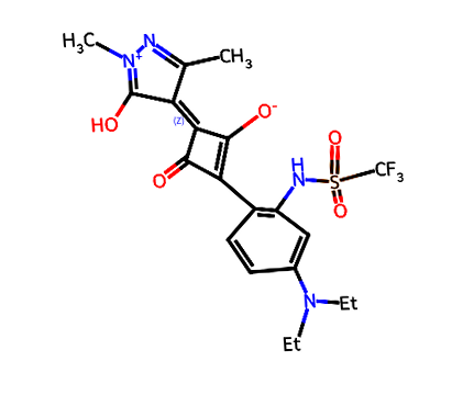 CCN(CC)c1ccc(C2=C([O-])/C(=C3\C(C)=N[N+](C)=C3O)C2=O)c(NS(=O)(=O)C(F)(F)F)c1